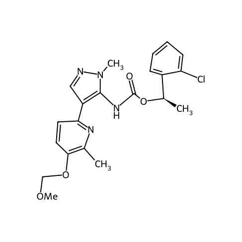 COCOc1ccc(-c2cnn(C)c2NC(=O)O[C@H](C)c2ccccc2Cl)nc1C